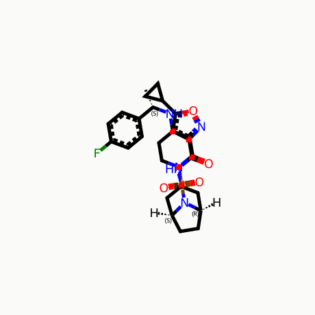 C[C@H](NC1CCN(S(=O)(=O)N2[C@@H]3CC[C@H]2C[C@@H](NC(=O)c2cc(C4CC4)on2)C3)CC1)c1ccc(F)cc1